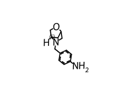 Nc1ccc(CN2CC3C[C@H]2CO3)cc1